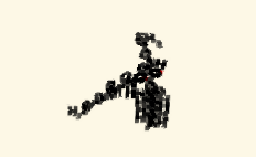 COCCCOCCNC(=O)CCCC(=O)Nc1ccc2c(c1)C(COC(=O)NNNNNNNNF)c1cccc(C(=O)NCCOCCCOC)c1-2